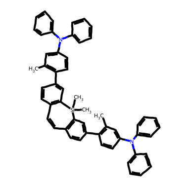 Cc1cc(N(c2ccccc2)c2ccccc2)ccc1-c1ccc2c(c1)[Si](C)(C)c1cc(-c3ccc(N(c4ccccc4)c4ccccc4)cc3C)ccc1C=C2